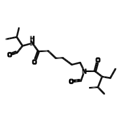 CCC(C(=O)N(C=O)CCCCCC(=O)NC(C=O)C(C)C)C(C)C